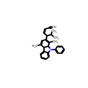 C#C/C=C\C(C1=C(C)C2C(C(C)=C1)c1ccccc1N2c1ccccc1)C(C)C